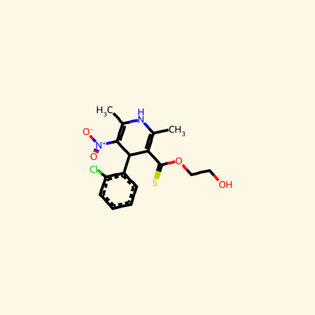 CC1=C(C(=S)OCCO)C(c2ccccc2Cl)C([N+](=O)[O-])=C(C)N1